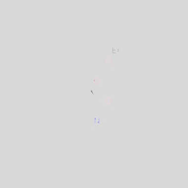 CCOc1ccccc1OC(c1ccccc1)[C@@H]1CN(Cc2ccccc2)CCO1